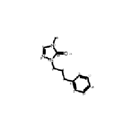 Cn1cnn(CCCc2ccccc2)c1=O